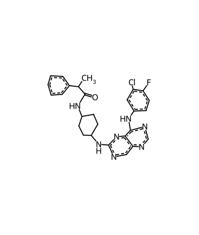 CC(C(=O)NC1CCC(Nc2ncc3ncnc(Nc4ccc(F)c(Cl)c4)c3n2)CC1)c1ccccc1